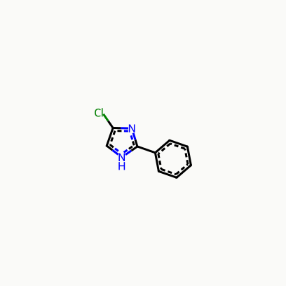 Clc1c[nH]c(-c2ccccc2)n1